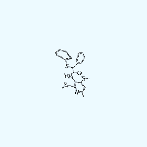 CSc1cc(C)nc(SC)c1NC(=O)C(Sc1ccccc1)c1ccccc1